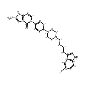 Cc1cc2c(=O)n(-c3ccc(N4CCN(CCCCc5c[nH]c6ccc(F)cc56)CC4)cc3)ccc2o1